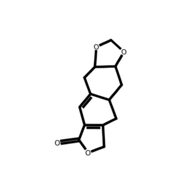 O=C1OCC2=C1C=C1CC3OCOC3CC1C2